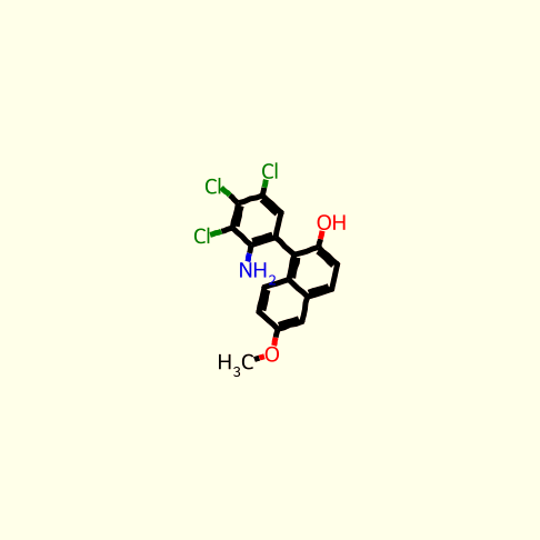 COc1ccc2c(-c3cc(Cl)c(Cl)c(Cl)c3N)c(O)ccc2c1